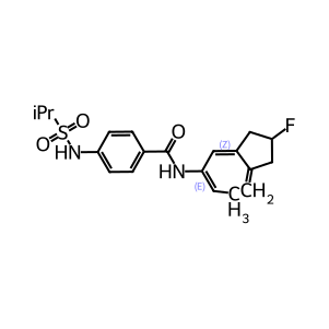 C=C1CC(F)C/C1=C/C(=C\C)NC(=O)c1ccc(NS(=O)(=O)C(C)C)cc1